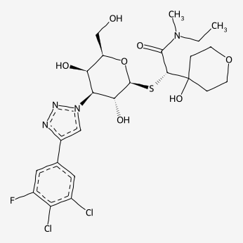 CCN(C)C(=O)[C@@H](S[C@@H]1O[C@H](CO)[C@H](O)[C@H](n2cc(-c3cc(F)c(Cl)c(Cl)c3)nn2)[C@H]1O)C1(O)CCOCC1